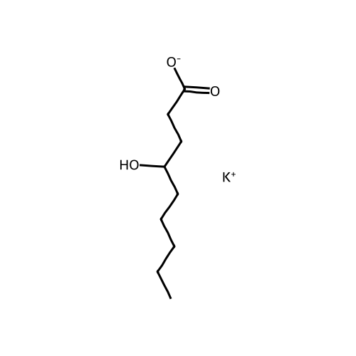 CCCCCC(O)CCC(=O)[O-].[K+]